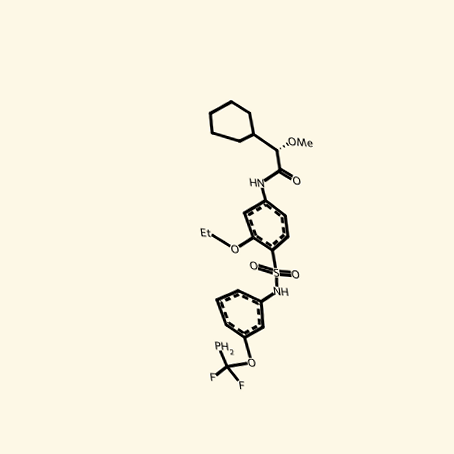 CCOc1cc(NC(=O)[C@@H](OC)C2CCCCC2)ccc1S(=O)(=O)Nc1cccc(OC(F)(F)P)c1